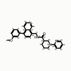 COc1cccc(-c2ccc(CNC(=O)C3CCCN(c4ccccn4)C3)c3cnccc23)c1